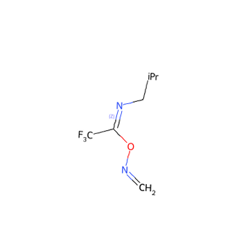 C=NO/C(=N\CC(C)C)C(F)(F)F